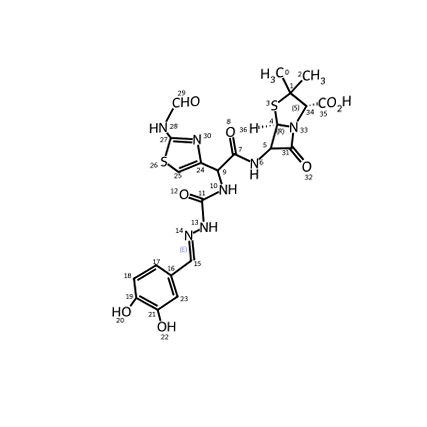 CC1(C)S[C@@H]2C(NC(=O)C(NC(=O)N/N=C/c3ccc(O)c(O)c3)c3csc(NC=O)n3)C(=O)N2[C@H]1C(=O)O